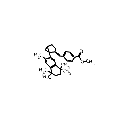 COC(=O)c1ccc(C=C2CCC3CC23c2cc3c(cc2C)C(C)(C)CCC3(C)C)cc1